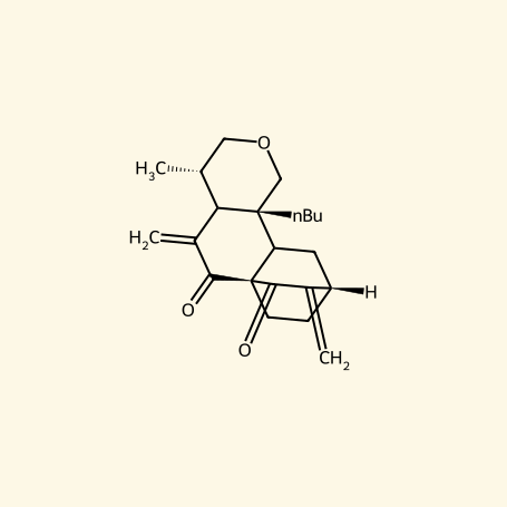 C=C1C(=O)[C@@]23CC[C@@H](CC2[C@@]2(CCCC)COC[C@@H](C)C12)C(=C)C3=O